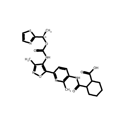 Cc1nc(-c2onc(C)c2NC(=O)O[C@H](C)c2nccs2)ccc1NC(=O)C1CCCCC1C(=O)O